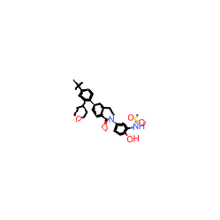 CC(C)(C)c1ccc(-c2ccc3c(c2)CCN(c2ccc(O)c(NS(C)(=O)=O)c2)C3=O)c(C2CCOCC2)c1